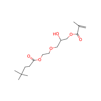 C=C(C)C(=O)OCC(O)COCCOC(=O)CCC(C)(C)C